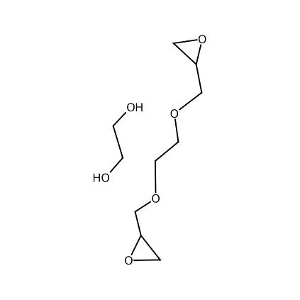 C(COCC1CO1)OCC1CO1.OCCO